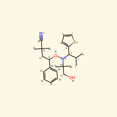 CC(C)C(c1cccs1)N(OC(CC(C)(C)C#N)c1ccccc1)C(C)(C)CO